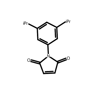 CC(C)c1cc(C(C)C)cc(N2C(=O)C=CC2=O)c1